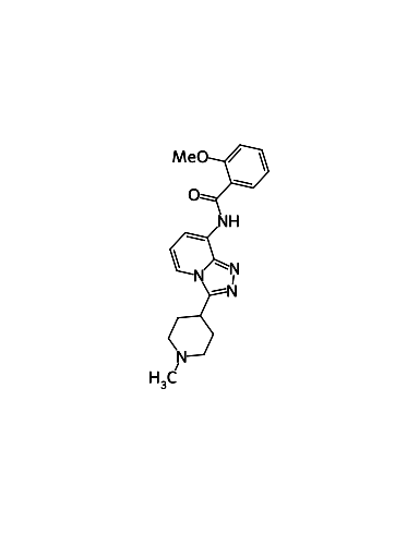 COc1ccccc1C(=O)Nc1cccn2c(C3CCN(C)CC3)nnc12